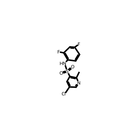 Cc1ncc(Cl)cc1S(=O)(=O)Nc1ccc(F)cc1F